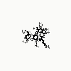 NCCC[C@H](O)C(=O)N[C@@H]1C(O)[C@H](N)C(O[C@H]2OC(CN)CCC2N)C(O)[C@H]1O[C@H]1OC(CO)[C@@H](O)[C@H](N)C1O